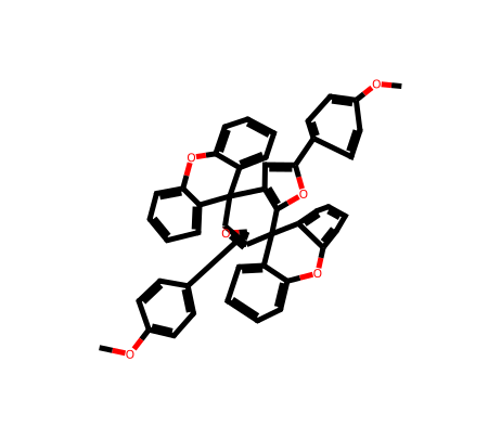 COc1ccc(-c2cc3c(o2)C2(c4ccccc4Oc4ccccc42)c2cc(-c4ccc(OC)cc4)oc2C32c3ccccc3Oc3ccccc32)cc1